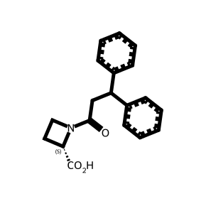 O=C(O)[C@@H]1CCN1C(=O)CC(c1ccccc1)c1ccccc1